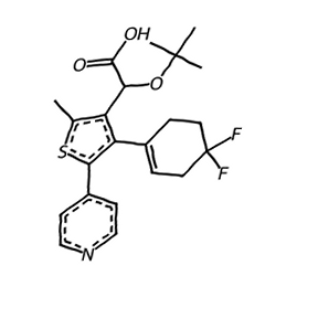 Cc1sc(-c2ccncc2)c(C2=CCC(F)(F)CC2)c1C(OC(C)(C)C)C(=O)O